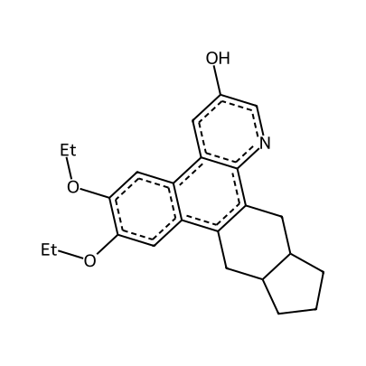 CCOc1cc2c3c(c4ncc(O)cc4c2cc1OCC)CC1CCCC1C3